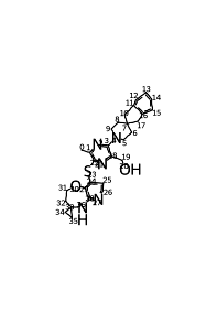 Cc1nc(N2CCC3(CC2)Cc2ccccc2C3)c(CO)nc1Sc1ccnc2c1OCCC1(CC1)N2